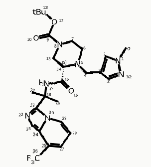 Cn1cc(CN2CCN(C(=O)OC(C)(C)C)C[C@H]2C(=O)NC(C)(C)c2ncc3c(C(F)(F)F)cccn23)cn1